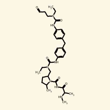 CCN(CCC=O)C(=O)Nc1ccc(Cc2ccc(NC(=O)N(CC)CC3CCC(C)N3C(=O)NC(=O)C(C)NC)cc2)cc1